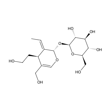 C/C=C1/[C@H](O[C@@H]2O[C@H](CO)[C@@H](O)[C@H](O)[C@H]2O)OC=C(CO)[C@H]1CCO